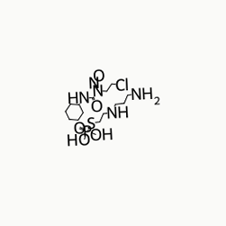 NCCCNCCSP(=O)(O)O.O=NN(CCCl)C(=O)NC1CCCCC1